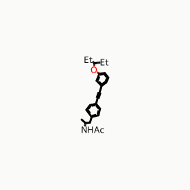 CCC(CC)Oc1cccc(C#Cc2ccc(CC(C)NC(C)=O)cc2)c1